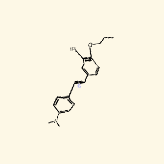 CCCOc1ccc(/C=C/c2ccc(N(C)C)cc2)cc1[123I]